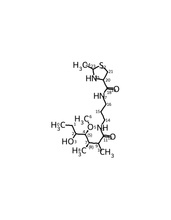 CCC(O)[C@@H](OC)[C@H](C)C(C)C(=O)NCCCNC(=O)C1CSC(C)N1